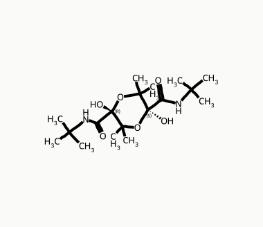 CC(C)(C)NC(=O)[C@]1(O)OC(C)(C)[C@@](O)(C(=O)NC(C)(C)C)OC1(C)C